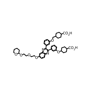 O=C(O)C1CCC(COc2cccc(-c3nc4cc(OCCOCCOC5CCCCO5)ccc4nc3-c3cccc(OC4CCC(C(=O)O)CC4)c3)c2)CC1